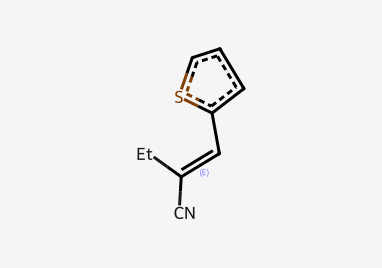 CC/C(C#N)=C\c1cccs1